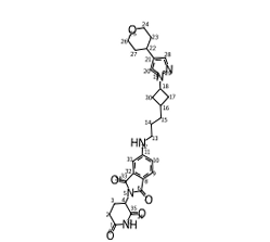 O=C1CCC(N2C(=O)c3ccc(NCCCC4CC(n5cc(C6CCOCC6)cn5)C4)cc3C2=O)C(=O)N1